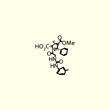 COC(=O)[C@@H]1S[C@@H](C(=O)O)N(C(=O)CNC(=O)Nc2cccc(C)c2)[C@H]1c1ccccc1